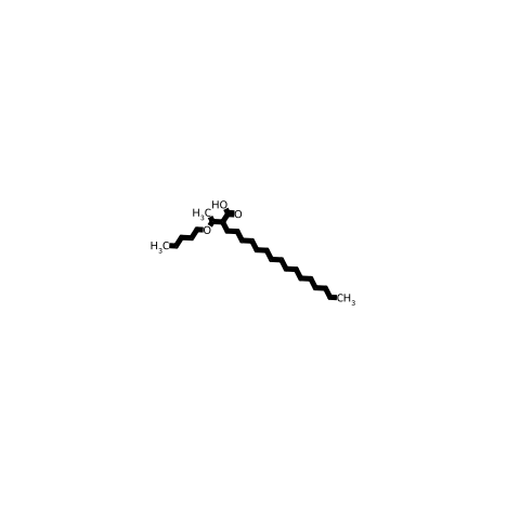 CCCCCCCCCCCCCCCCC(C(=O)O)C(C)OCCCCC